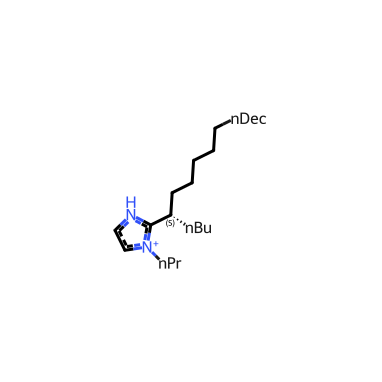 CCCCCCCCCCCCCCC[C@H](CCCC)c1[nH]cc[n+]1CCC